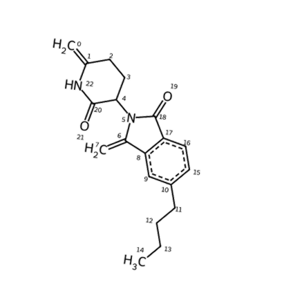 C=C1CCC(N2C(=C)c3cc(CCCC)ccc3C2=O)C(=O)N1